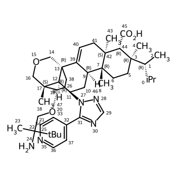 CC(C)[C@@H](C)[C@@]1(C)CC[C@]2(C)[C@H]3CC[C@@H]4[C@@]5(COC[C@@]4(C)[C@@H](OCC(C)(N)C(C)(C)C)[C@H](n4ncnc4-c4ccncc4)C5)C3=CC[C@@]2(C)[C@@H]1C(=O)O